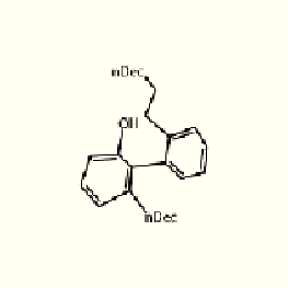 CCCCCCCCCCCCc1ccccc1-c1c(O)cccc1CCCCCCCCCC